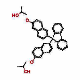 CC(O)COc1ccc2cc(C3(c4ccc5cc(OCC(C)O)ccc5c4)c4ccccc4-c4ccccc43)ccc2c1